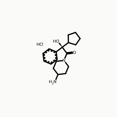 Cl.NC1CCN(C(=O)[C@](O)(c2ccccc2)C2CCCC2)CC1